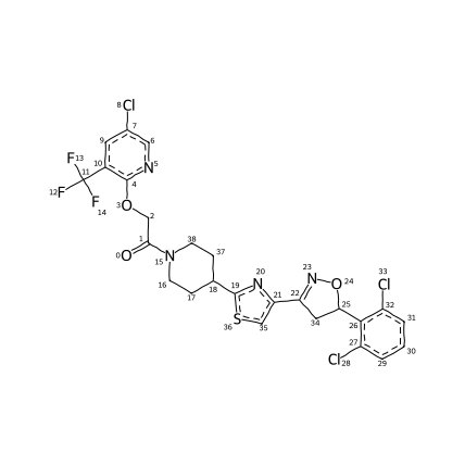 O=C(COc1ncc(Cl)cc1C(F)(F)F)N1CCC(c2nc(C3=NOC(c4c(Cl)cccc4Cl)C3)cs2)CC1